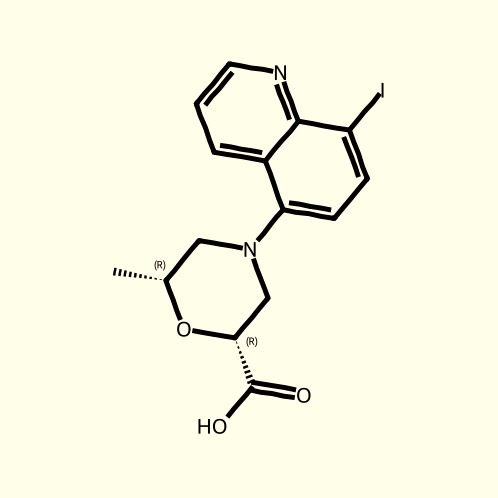 C[C@@H]1CN(c2ccc(I)c3ncccc23)C[C@H](C(=O)O)O1